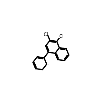 Clc1cc(C2=CC=CC[CH]2)c2ccccc2c1Cl